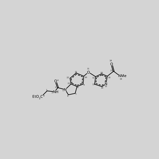 CCOC(=O)CNC(=O)N1CCc2cc(Oc3ccnc(C(=O)NC)c3)ccc21